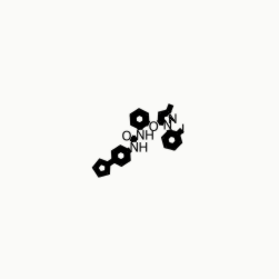 Cc1cc(Oc2ccccc2NC(=O)Nc2ccc(C3CCCC3)cc2)n(-c2ccccc2I)n1